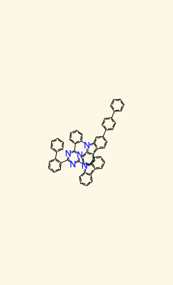 c1ccc(-c2ccc(-c3ccc4c5ccccc5n(-c5ccccc5-c5nc(-c6ccccc6-c6ccccc6)nc(-n6c7ccccc7c7ccccc76)n5)c4c3)cc2)cc1